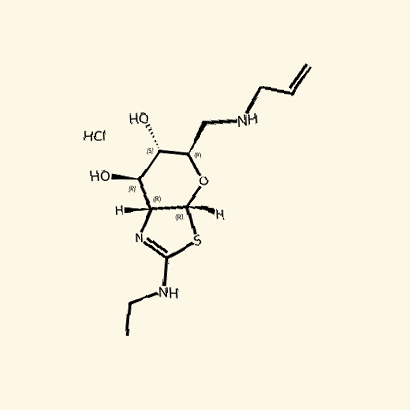 C=CCNC[C@H]1O[C@@H]2SC(NCC)=N[C@@H]2[C@@H](O)[C@@H]1O.Cl